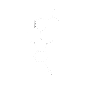 Cc1ccc([N+](=O)[O-])cc1N1C(=O)c2ccc(C#N)cc2C1=O